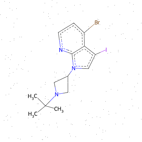 CC(C)(C)N1CC(n2cc(I)c3c(Br)ccnc32)C1